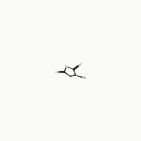 O=C1C[C@H](Cl)C(=O)O1